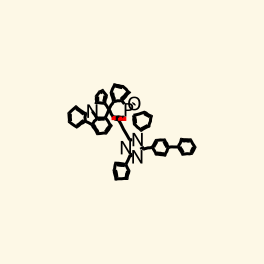 O=P1(c2ccccc2)c2ccccc2C2(c3ccccc3-n3c4ccccc4c4cccc2c43)c2ccc(-c3nc(-c4ccccc4)nc(-c4ccc(-c5ccccc5)cc4)n3)cc21